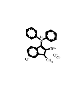 CC1[C]([Ti+3])=C([SiH](c2ccccc2)c2ccccc2)c2ccccc21.[Cl-].[Cl-].[Cl-]